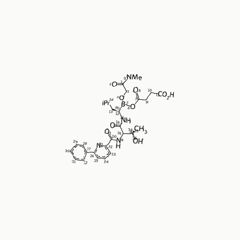 CNC(=O)COB(OC(=O)CCC(=O)O)[C@H](CC(C)C)NC(=O)C(NC(=O)c1cccc(-c2ccccc2)n1)[C@@H](C)O